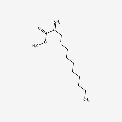 C=C(CSCCCCCCCC)C(=O)OC